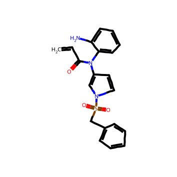 C=CC(=O)N(c1ccn(S(=O)(=O)Cc2ccccc2)c1)c1ccccc1N